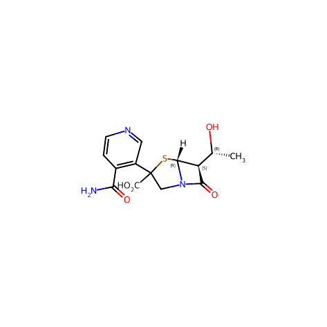 C[C@@H](O)[C@H]1C(=O)N2CC(C(=O)O)(c3cnccc3C(N)=O)S[C@H]12